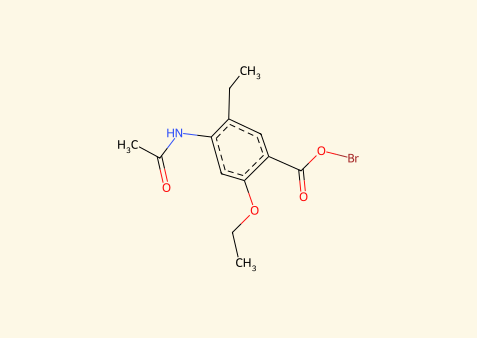 CCOc1cc(NC(C)=O)c(CC)cc1C(=O)OBr